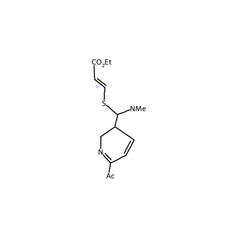 CCOC(=O)/C=C/SC(NC)C1C=CC(C(C)=O)=NC1